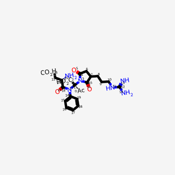 CC(=O)[C@](C(=O)O)(N1C(=O)CC(CCCNC(=N)N)C1=O)N(C(=O)[C@@H](N)CC(=O)O)c1ccccc1